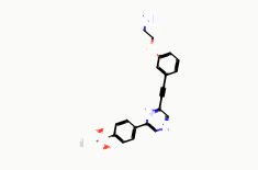 CC(C)S(=O)(=O)c1ccc(-c2cncc(C#Cc3cccc(OCCN)c3)n2)cc1